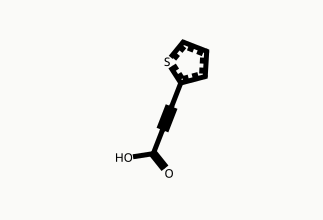 O=C(O)C#Cc1cccs1